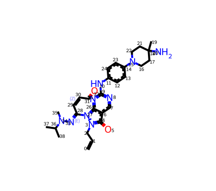 C=CCn1c(=O)c2cnc(Nc3ccc(N4CCC(C)(N)CC4)cc3)nc2n1C(/C=C\C=O)=N/N(C)C(C)C